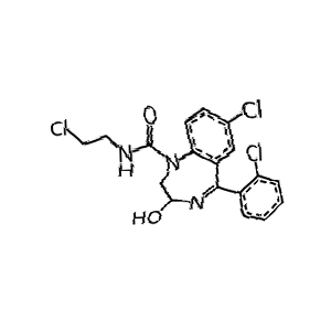 O=C(NCCCl)N1CC(O)N=C(c2ccccc2Cl)c2cc(Cl)ccc21